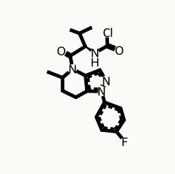 CC(C)[C@@H](NC(=O)Cl)C(=O)N1c2cnn(-c3ccc(F)cc3)c2CCC1C